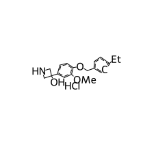 CCc1ccc(COc2ccc(C3(O)CNC3)cc2OC)cc1.Cl